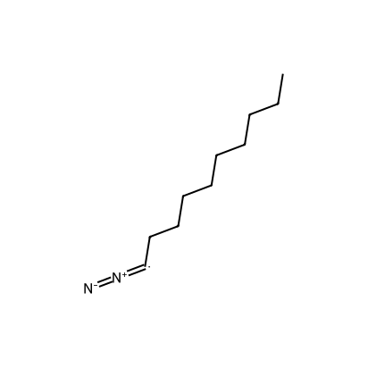 CCCCCCCCC[C]=[N+]=[N-]